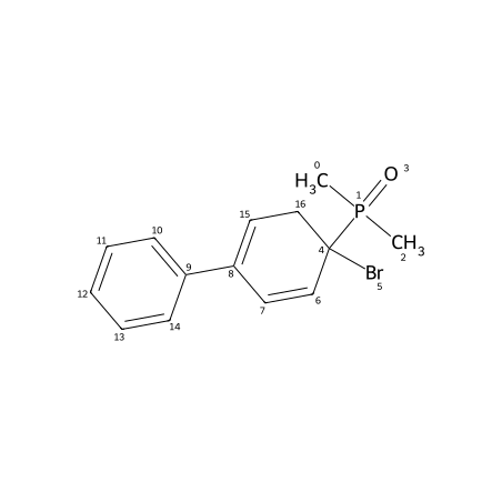 CP(C)(=O)C1(Br)C=CC(c2ccccc2)=CC1